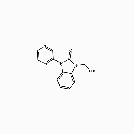 O=CCn1c(=O)n(-c2cnccn2)c2ccccc21